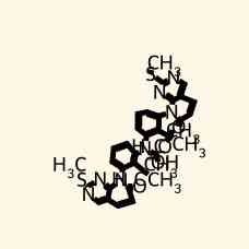 CSc1ncc2ccc(=O)n(-c3cccc(N(C(=O)O)c4cccc(-n5c(=O)ccc6cnc(SC)nc65)c4C(C)(C)C)c3C(C)(C)C)c2n1